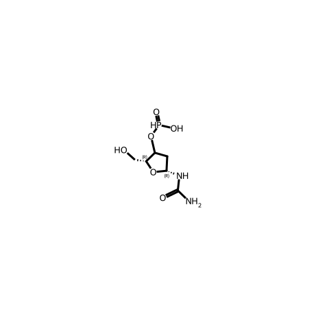 NC(=O)N[C@H]1CC(O[PH](=O)O)[C@@H](CO)O1